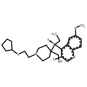 CC[C@](F)(c1c(Cl)cnc2ccc(OC)cc12)C1(CO)CCN(CCSC2CCCC2)CC1